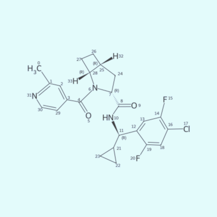 Cc1cc(C(=O)N2[C@@H](C(=O)N[C@@H](c3cc(F)c(Cl)cc3F)C3CC3)C[C@H]3CC[C@H]32)ccn1